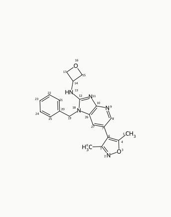 Cc1noc(C)c1-c1cnc2nc(NC3COC3)n(Cc3ccccc3)c2c1